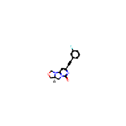 O=c1nc(C#Cc2cccc(F)c2)cc2n1C[C@H]1COCN21